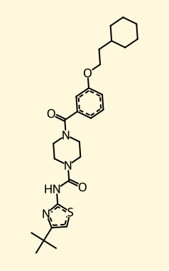 CC(C)(C)c1csc(NC(=O)N2CCN(C(=O)c3cccc(OCCC4CCCCC4)c3)CC2)n1